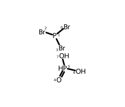 BrP(Br)Br.O=[PH](O)O